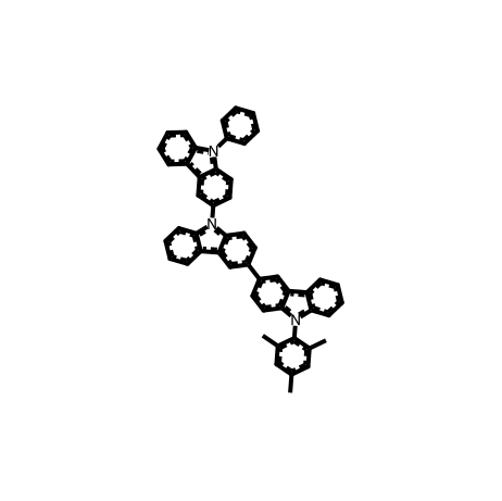 Cc1cc(C)c(-n2c3ccccc3c3cc(-c4ccc5c(c4)c4ccccc4n5-c4ccc5c(c4)c4ccccc4n5-c4ccccc4)ccc32)c(C)c1